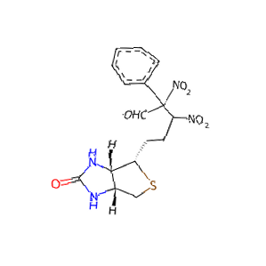 O=[C]C(c1ccccc1)(C(CC[C@@H]1SC[C@@H]2NC(=O)N[C@@H]21)[N+](=O)[O-])[N+](=O)[O-]